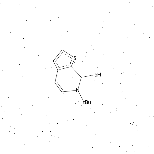 CC(C)(C)N1C=Cc2ccsc2C1S